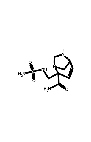 NC(=O)C1(CNS(N)(=O)=O)C=CC2CN1CN2